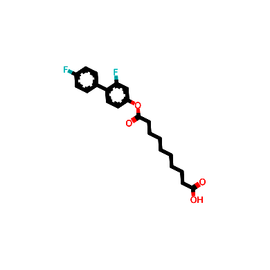 O=C(O)CCCCCCCCC(=O)Oc1ccc(-c2ccc(F)cc2)c(F)c1